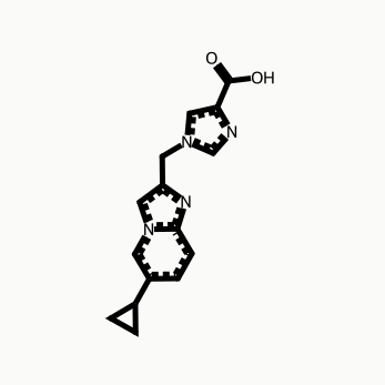 O=C(O)c1cn(Cc2cn3cc(C4CC4)ccc3n2)cn1